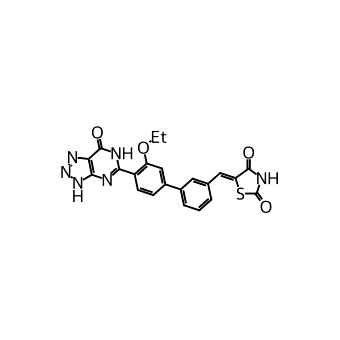 CCOc1cc(-c2cccc(/C=C3\SC(=O)NC3=O)c2)ccc1-c1nc2[nH]nnc2c(=O)[nH]1